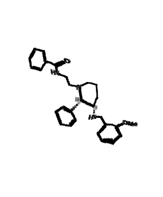 COc1ccccc1CN[C@H]1CCCN(CCNC(=O)c2ccccc2)[C@H]1c1ccccc1